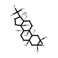 C[C@]12C[C@@H]3S[C@@H]3C[C@@H]1CC[C@@H]1[C@@H]2CC[C@@]2(C)[C@H]1CC[C@@]2(O)C(F)(F)F